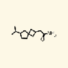 CC(C)C1CCC2(CC(CC(N)=O)C2)C1